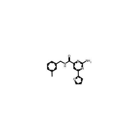 Cc1cccc(CNC(=O)c2cc(-c3ccco3)nc(N)n2)c1